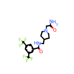 NC(=O)CN1CCC(CNC(=O)c2cc(C(F)(F)F)cc(C(F)(F)F)c2)CC1